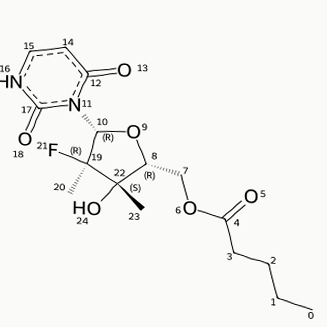 CCCCC(=O)OC[C@H]1O[C@@H](n2c(=O)cc[nH]c2=O)[C@](C)(F)[C@@]1(C)O